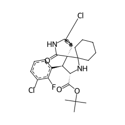 CC(C)(C)OC(=O)[C@H]1NC2(CCCCC2)[C@]2(C(=O)Nc3cc(Cl)ccc32)[C@@H]1c1cccc(Cl)c1F